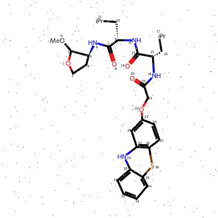 COC1OCC[C@@H]1NC(=O)[C@H](CC(C)C)NC(=O)[C@H](CC(C)C)NC(=O)COc1ccc2c(c1)Nc1ccccc1S2